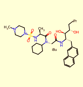 CC[C@H](C)[C@@H](C(=O)N[C@@H](Cc1ccc2ccccc2c1)[C@@H](O)[C@@H](O)CC(C)C)N(C(=O)[C@H](C)NS(=O)(=O)N1CCN(C)CC1)C1CCCCC1